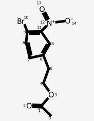 CC(=O)OCCc1ccc(Br)c([N+](=O)[O-])c1